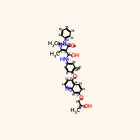 Cc1c(C(O)Nc2ccc(Oc3ccnc4cc(OC[C@@H](C)O)ccc34)c(F)c2)c(=O)n(-c2ccccc2)n1C